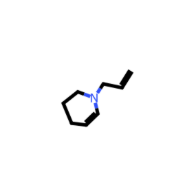 C=CCN1C=CCCC1